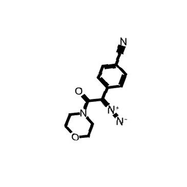 N#Cc1ccc(C(=[N+]=[N-])C(=O)N2CCOCC2)cc1